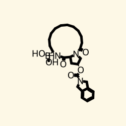 O=C1N[C@H](B(O)O)CCCCCCCCCCC(=O)N2C[C@H](OC(=O)N3Cc4ccccc4C3)CC12